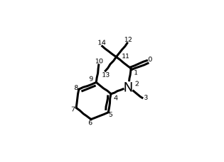 C=C(N(C)C1=CCCC=C1C)C(C)(C)C